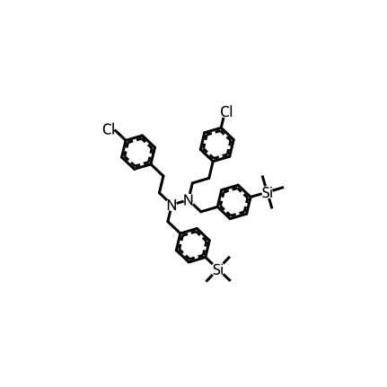 C[Si](C)(C)c1ccc(CN(CCc2ccc(Cl)cc2)N(CCc2ccc(Cl)cc2)Cc2ccc([Si](C)(C)C)cc2)cc1